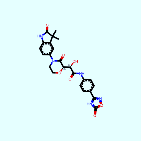 CC1(C)C(=O)Nc2ccc(N3CCO[C@H]([C@@H](O)C(=O)Nc4ccc(-c5noc(=O)[nH]5)cc4)C3=O)cc21